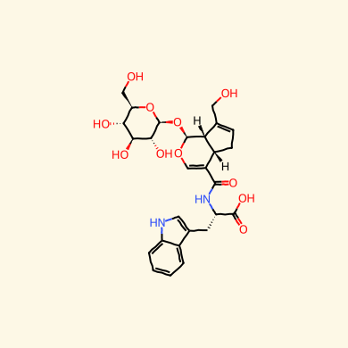 O=C(N[C@@H](Cc1c[nH]c2ccccc12)C(=O)O)C1=CO[C@@H](O[C@@H]2O[C@H](CO)[C@@H](O)[C@H](O)[C@H]2O)[C@@H]2C(CO)=CC[C@H]12